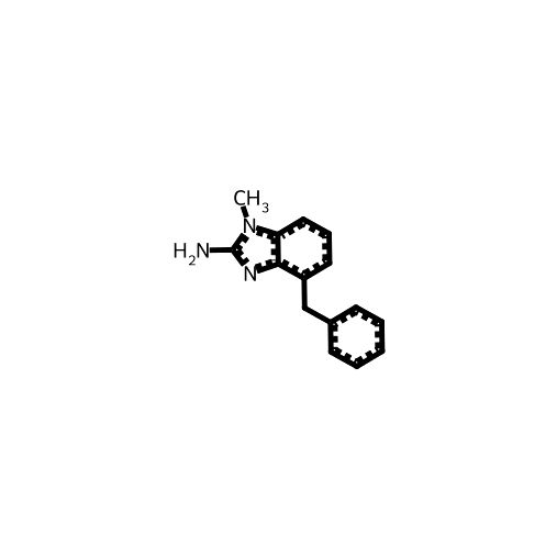 Cn1c(N)nc2c(Cc3ccccc3)cccc21